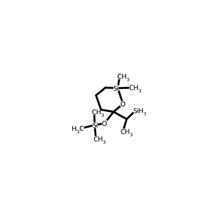 CC([SiH3])C1(O[Si](C)(C)C)CCC[Si](C)(C)O1